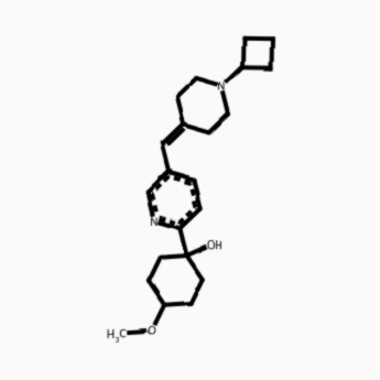 COC1CCC(O)(c2ccc(C=C3CCN(C4CCC4)CC3)cn2)CC1